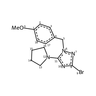 COc1ccc(Cn2nc(Br)nc2N2CCCC2)cc1